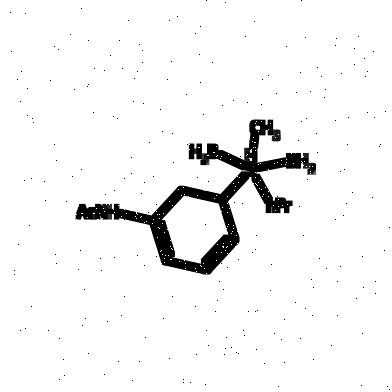 B[SH](B)(C)(CCC)C1C=CC=C(NC(C)=O)C1